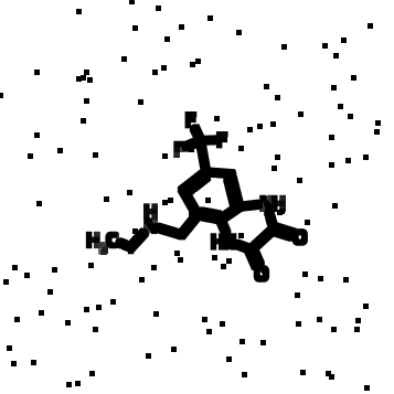 C[CH]NCc1cc(C(F)(F)F)cc2[nH]c(=O)c(=O)[nH]c12